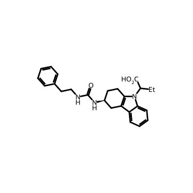 CCC(C(=O)O)n1c2c(c3ccccc31)C[C@@H](NC(=O)NCCc1ccccc1)CC2